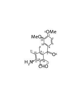 COc1ccc(C(=O)c2c(C)c(C)c(N)c(C=O)c2C)cc1OC